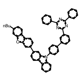 CCCCc1ccc2c(c1)oc1cc(-c3ccc4c5ccccc5n(-c5ccc(-c6cccc(-c7nc(-c8ccccc8)nc(-c8ccccc8)n7)c6)cc5)c4c3)ccc12